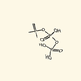 C=P(C)(C)OP(=O)(O)OP(=O)(O)O